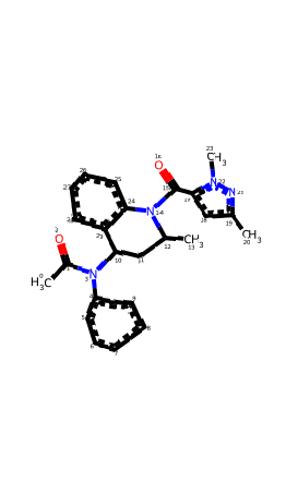 CC(=O)N(c1ccccc1)C1CC(C)N(C(=O)c2cc(C)nn2C)c2ccccc21